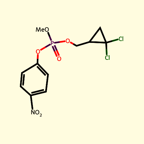 COP(=O)(OCC1CC1(Cl)Cl)Oc1ccc([N+](=O)[O-])cc1